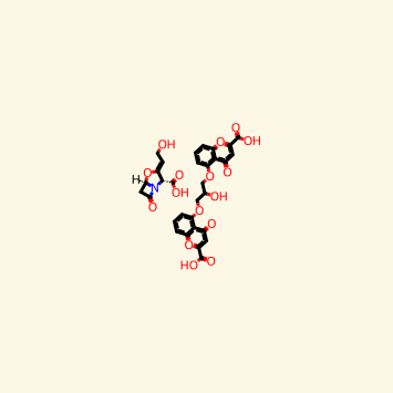 O=C(O)[C@H]1/C(=C/CO)O[C@@H]2CC(=O)N21.O=C(O)c1cc(=O)c2c(OCC(O)COc3cccc4oc(C(=O)O)cc(=O)c34)cccc2o1